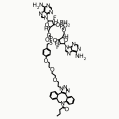 B[P@]1(=O)OC[C@H]2O[C@@H](n3cnc4c(N)ncnc43)[C@H](F)[C@@H]2O[P@@](=O)(SCc2ccc(OCCOCCOCCn3nnc4c3-c3ccccc3CN(C(=O)CCC)c3ccccc3-4)cc2)OC[C@H]2O[C@@H](n3cnc4c(N)ncnc43)[C@H](F)[C@@H]2O1